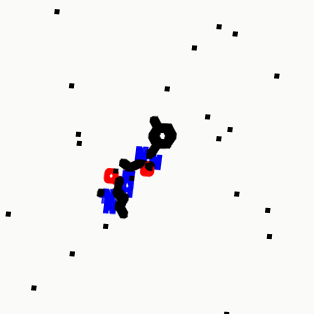 Cc1cccc(-c2noc(C(C)NC(=O)c3cc(C)nn3C)n2)c1